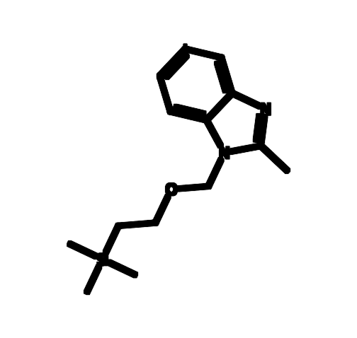 Cc1nc2c[c]ccc2n1COCC[Si](C)(C)C